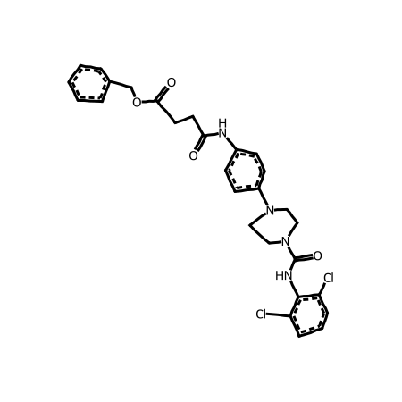 O=C(CCC(=O)OCc1ccccc1)Nc1ccc(N2CCN(C(=O)Nc3c(Cl)cccc3Cl)CC2)cc1